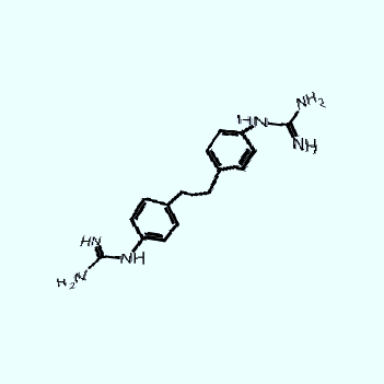 N=C(N)Nc1ccc(CCc2ccc(NC(=N)N)cc2)cc1